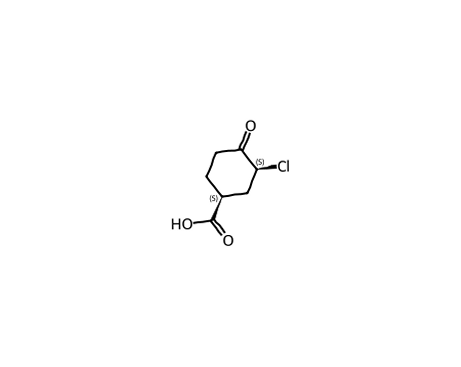 O=C(O)[C@H]1CCC(=O)[C@@H](Cl)C1